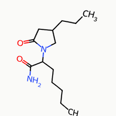 CCCCCC(C(N)=O)N1CC(CCC)CC1=O